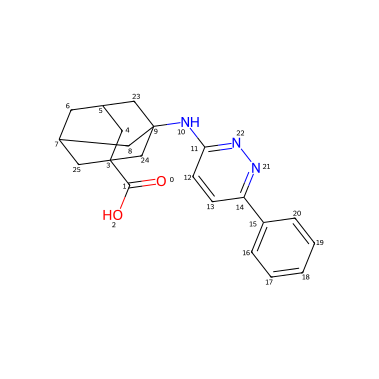 O=C(O)C12CC3CC(CC(Nc4ccc(-c5ccccc5)nn4)(C3)C1)C2